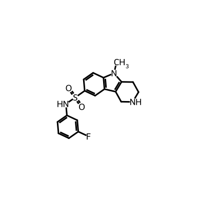 Cn1c2c(c3cc(S(=O)(=O)Nc4cccc(F)c4)ccc31)CNCC2